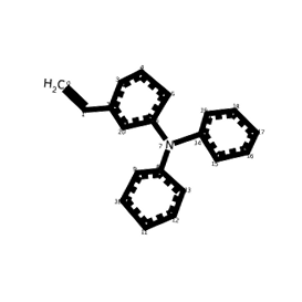 C=Cc1cccc(N(c2ccccc2)c2ccccc2)c1